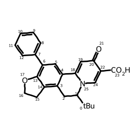 CC(C)(C)C1Cc2c(cc(-c3ccccc3)c3c2CCO3)-c2cc(=O)c(C(=O)O)cn21